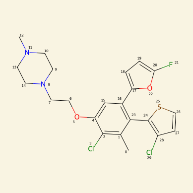 Cc1c(Cl)c(OCCN2CCN(C)CC2)cc(-c2ccc(F)o2)c1-c1sccc1Cl